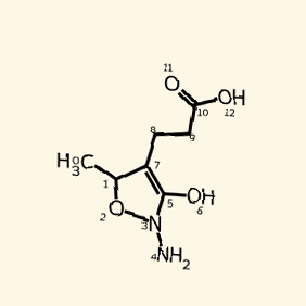 CC1ON(N)C(O)=C1CCC(=O)O